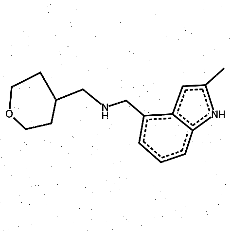 Cc1cc2c(CNCC3CCOCC3)cccc2[nH]1